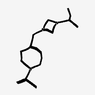 CC(C)N1CCC(CN2CN(C(C)C)C2)CC1